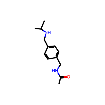 CC(=O)NCc1ccc(CNC(C)C)cc1